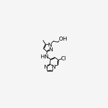 Cc1cc(Nc2cc(Cl)cn3ccnc23)nn1CCO